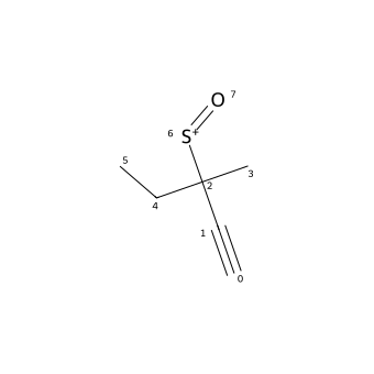 C#CC(C)(CC)[S+]=O